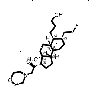 C[C@]12CC[C@H]3[C@@H](CC[C@H](CCF)[C@@H]3CCCO)[C@@H]1CC[C@@H]2C(=O)CN1CCOCC1